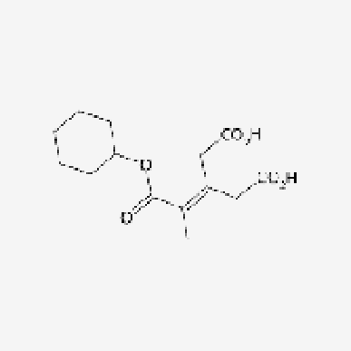 CC(C(=O)OC1CCCCC1)=C(CC(=O)O)CC(=O)O